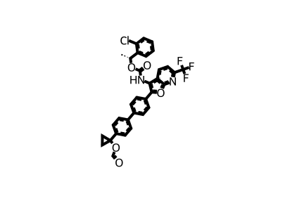 C[C@@H](OC(=O)Nc1c(-c2ccc(-c3ccc(C4(OC=O)CC4)cc3)cc2)oc2nc(C(F)(F)F)ccc12)c1ccccc1Cl